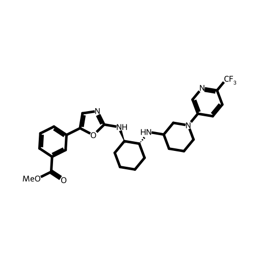 COC(=O)c1cccc(-c2cnc(N[C@@H]3CCCC[C@H]3NC3CCCN(c4ccc(C(F)(F)F)nc4)C3)o2)c1